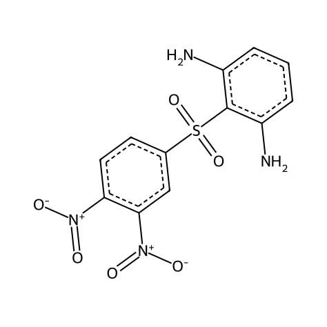 Nc1cccc(N)c1S(=O)(=O)c1ccc([N+](=O)[O-])c([N+](=O)[O-])c1